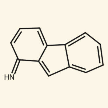 N=C1C=CC=C2C1=Cc1ccccc12